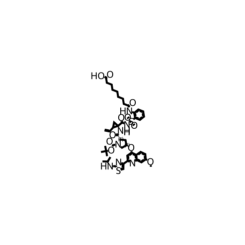 C=CC1CC1(NC(=O)[C@@H]1C[C@@H](Oc2cc(-c3csc(NC(C)C)n3)nc3cc(OC)ccc23)CN1C(=O)OC(C)(C)C)C(=O)NS(=O)(=O)c1ccccc1NC(=O)CCCCCCCC(=O)O